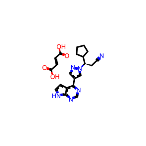 N#CC[C@H](C1CCCC1)n1cc(-c2ncnc3[nH]ccc23)cn1.O=C(O)C=CC(=O)O